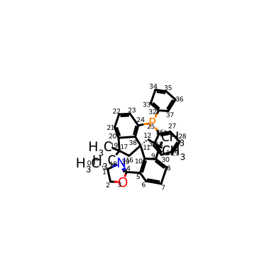 C[C@H]1COC(c2cccc3c2[C@@]2(CC3(C)C)CC(C)(C)c3cccc(P(c4ccccc4)c4ccccc4)c32)=N1